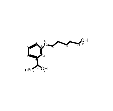 CCCC(O)c1cccc(OCCCCCO)c1